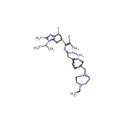 C=N/C(Cc1ccc(CN2CCN(CC)CC2)cn1)=N\C(=C(/C)F)c1cc(F)c2nc(C)n(C(C)C)c2c1